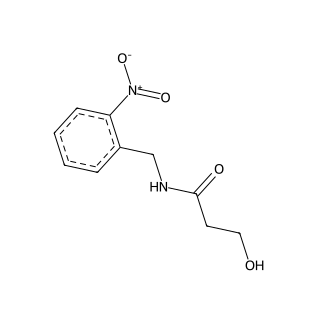 O=C(CCO)NCc1ccccc1[N+](=O)[O-]